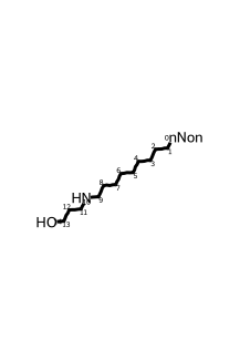 CCCCCCCCCCCCCCCCCCNCCCO